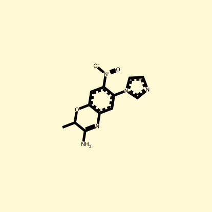 CC1Oc2cc([N+](=O)[O-])c(-n3ccnc3)cc2N=C1N